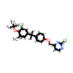 [2H]C([2H])([2H])Oc1c(Cl)cc(C(C)(C)c2ccc(OCc3ccnc(Cl)n3)cc2)cc1C#N